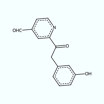 O=Cc1ccnc(C(=O)Cc2cccc(O)c2)c1